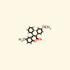 COc1ccc(-c2c(-c3ccccc3)c3cc(C)ccc3oc2=O)cc1